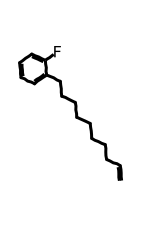 C=CCCCCCCCCc1ccccc1F